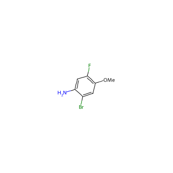 COc1cc(Br)c(N)cc1F